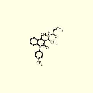 C=CC(=O)NC(C)c1c(C)c2ccccc2n(-c2ccc(C(F)(F)F)cc2)c1=O